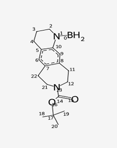 BN1CCCc2cc3c(cc21)CCN(C(=O)OC(C)(C)C)CC3